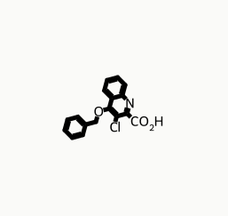 O=C(O)c1nc2ccccc2c(OCc2ccccc2)c1Cl